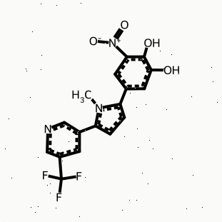 Cn1c(-c2cncc(C(F)(F)F)c2)ccc1-c1cc(O)c(O)c([N+](=O)[O-])c1